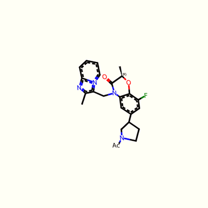 CC(=O)N1CCC(c2cc(F)c3c(c2)N(Cc2c(C)nc4ccccn24)C(=O)[C@@H](C)O3)C1